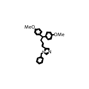 COc1ccc(C(CC=Cc2cncn2Cc2ccccc2)c2ccc(OC)cc2)cc1